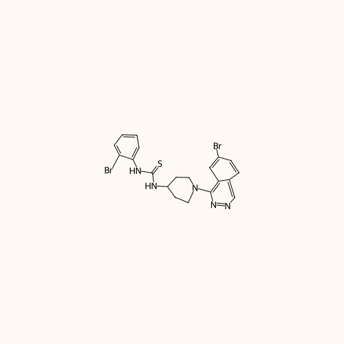 S=C(Nc1ccccc1Br)NC1CCN(c2nncc3ccc(Br)cc23)CC1